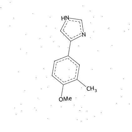 COc1ccc(-c2c[nH]cn2)cc1C